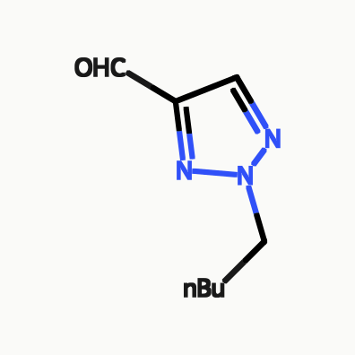 CCCCCn1ncc(C=O)n1